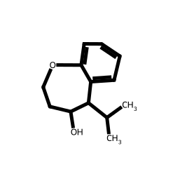 CC(C)C1c2ccccc2OCCC1O